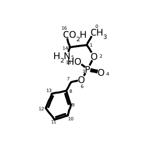 CC(OP(=O)(O)OCc1ccccc1)C(N)C(=O)O